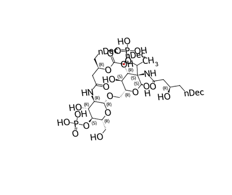 CCCCCCCCCCCC(=O)O[C@H](CCCCCCCCCCC)CC(=O)N[C@H]1[C@H](OC[C@H]2O[C@H](O)[C@@](NC(=O)C[C@H](O)CCCCCCCCCCC)(C(C)OP(=O)(O)O)[C@@H](O)[C@@H]2O)O[C@H](CO)[C@@H](OP(=O)(O)O)[C@@H]1O